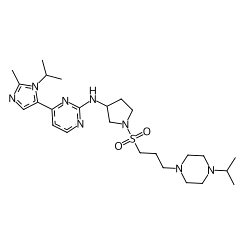 Cc1ncc(-c2ccnc(NC3CCN(S(=O)(=O)CCCN4CCN(C(C)C)CC4)C3)n2)n1C(C)C